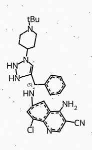 CC(C)(C)N1CCC(N2C=C([C@@H](Nc3cc(Cl)c4ncc(C#N)c(N)c4c3)c3ccccc3)NN2)CC1